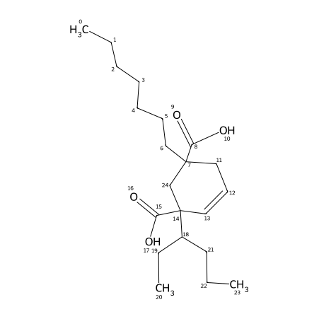 CCCCCCCC1(C(=O)O)CC=CC(C(=O)O)(C(CC)CCC)C1